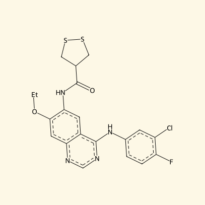 CCOc1cc2ncnc(Nc3ccc(F)c(Cl)c3)c2cc1NC(=O)C1CSSC1